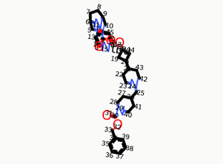 CC(C)(C)OC(=O)N1CC2CCC(C1)N2c1ccnc(OC2CC(C3CCN(CC4CCN(C(=O)OCc5ccccc5)CC4)CC3)C2)c1